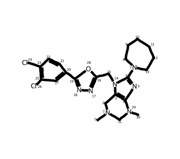 CN1Cc2c(nc(N3CCCCCC3)n2Cc2nnc(-c3ccc(Cl)c(Cl)c3)o2)N(C)C1